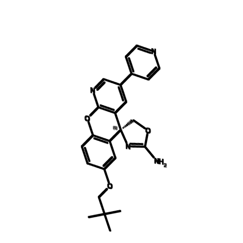 CC(C)(C)COc1ccc2c(c1)[C@@]1(COC(N)=N1)c1cc(-c3ccncc3)cnc1O2